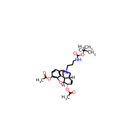 CC(=O)Oc1ccc2c3c1O[C@H]1[C@@H](OC(C)=O)C=C[C@H]4C(C2)N(CCCNC(=O)OC(C)(C)C)CC[C@@]341